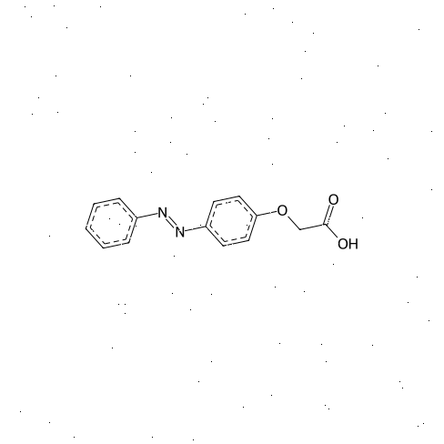 O=C(O)COc1ccc(N=Nc2ccccc2)cc1